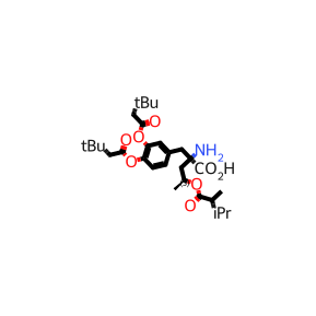 CC(C)C(C)C(=O)O[C@@H](C)CC(N)(Cc1ccc(OC(=O)CC(C)(C)C)c(OC(=O)CC(C)(C)C)c1)C(=O)O